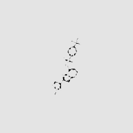 Cn1cc(-c2cc3nccc(NS(=O)(=O)c4ccc(C(C)(C)C)cc4)n3n2)cn1